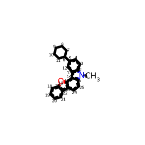 Cn1c2ccc(C3CCCCC3)cc2c2c3oc4ccccc4c3ccc21